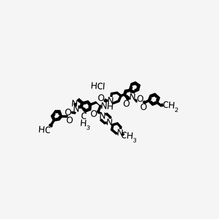 C#Cc1cccc(C(=O)OCn2ncc3cc(C[C@@H](NC(=O)N4CCC(c5cc6ccccc6n(COC(=O)c6cccc(C=C)c6)c5=O)CC4)C(=O)N4CCN(C5CCN(C)CC5)CC4)cc(C)c32)c1.Cl